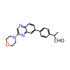 CC(C=O)c1ccc(-c2ccc3ncc(N4CCOCC4)nc3c2)cc1